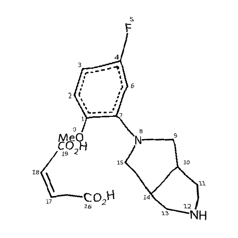 COc1ccc(F)cc1N1CC2CNCC2C1.O=C(O)/C=C\C(=O)O